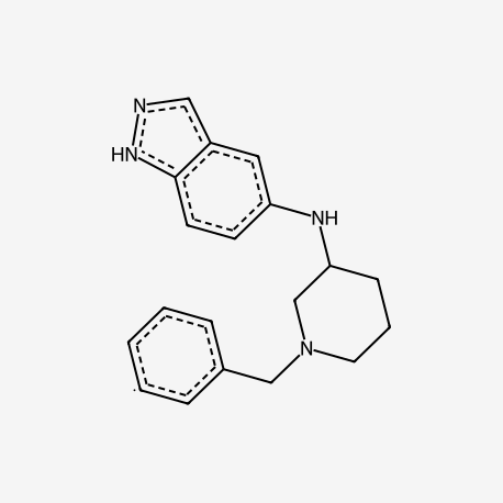 [c]1cccc(CN2CCCC(Nc3ccc4[nH]ncc4c3)C2)c1